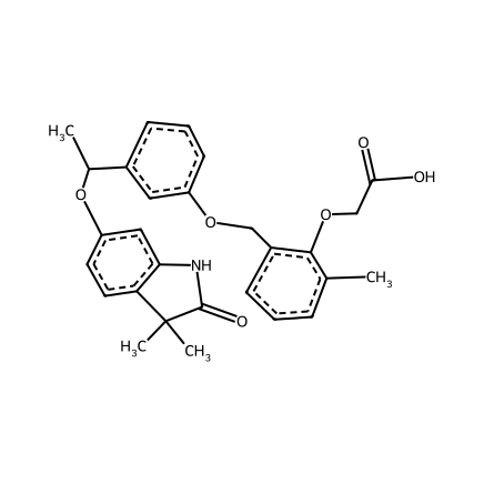 Cc1cccc(COc2cccc(C(C)Oc3ccc4c(c3)NC(=O)C4(C)C)c2)c1OCC(=O)O